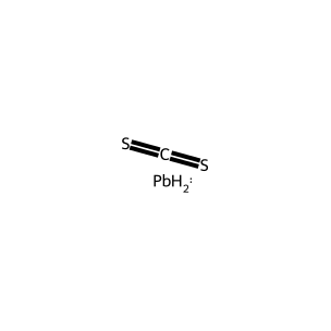 S=C=S.[PbH2]